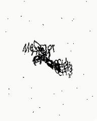 COC(=O)N[C@H](C(=O)N1C2CC[C@@H](C2)[C@H]1c1nc2ccc(B3OC(C)(C)C(C)(C)O3)cc2[nH]1)C(C)C